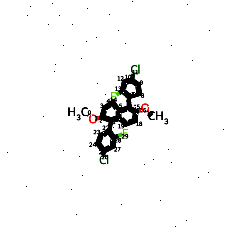 COc1ccc2c(-c3ccc(Cl)cc3F)c(OC)ccc2c1-c1ccc(Cl)cc1F